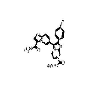 COC(=O)N1CCn2c(nc(-c3ccc(F)cc3)c2-c2ccc3ncc(C(N)=O)n3c2)C1